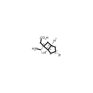 NC[C@]1(CC(=O)O)C[C@H]2C[C@H](F)C[C@H]21